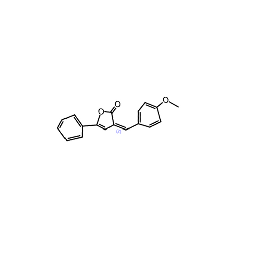 COc1ccc(/C=C2/C=C(c3ccccc3)OC2=O)cc1